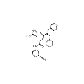 N#Cc1cccc(NC(=O)COC(=S)N(Cc2ccccc2)Cc2ccccc2)c1.NC(O)=S